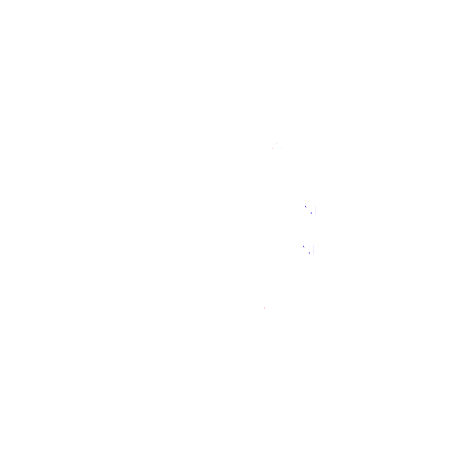 Cc1ccc2c(=O)[nH][nH]c(=O)c2c1